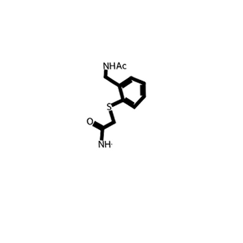 CC(=O)NCc1ccccc1SCC([NH])=O